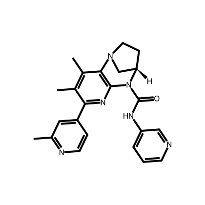 Cc1cc(-c2nc3c(c(C)c2C)N2CC[C@@H](C2)N3C(=O)Nc2cccnc2)ccn1